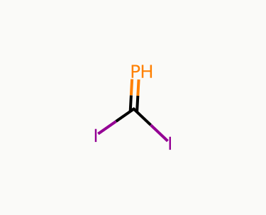 P=C(I)I